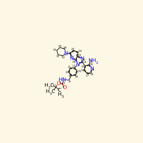 CC(C)(C)OC(=O)NCc1ccc(-n2c(-c3cccnc3N)nc3ccc(N4CCCCC4)nc32)cc1